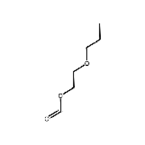 CCCOCCO[C]=O